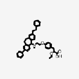 CCOC(Cc1ccc(OCCN(C)C2c3ccc(CCc4ccccc4)cc3CCc3cc(-c4ccccc4)ccc32)cc1)C(=O)O